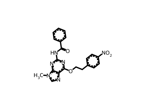 Cn1cnc2c(OCCc3ccc([N+](=O)[O-])cc3)nc(NC(=O)c3ccccc3)nc21